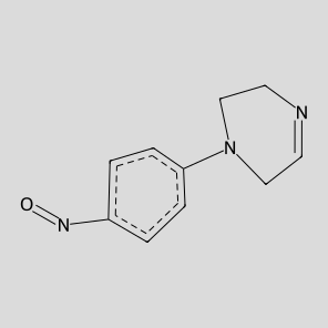 O=Nc1ccc(N2CC=NCC2)cc1